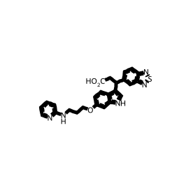 O=C(O)CC(c1ccc2nsnc2c1)c1c[nH]c2cc(OCCCNc3ccccn3)ccc12